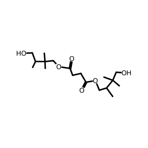 CC(COC(=O)CCC(=O)OCC(C)(C)C(C)CO)C(C)(C)CO